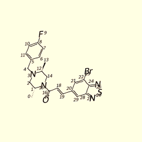 C[C@@H]1CN(Cc2ccc(F)cc2)[C@@H](C)CN1C(=O)/C=C/c1cc(Br)c2nsnc2c1